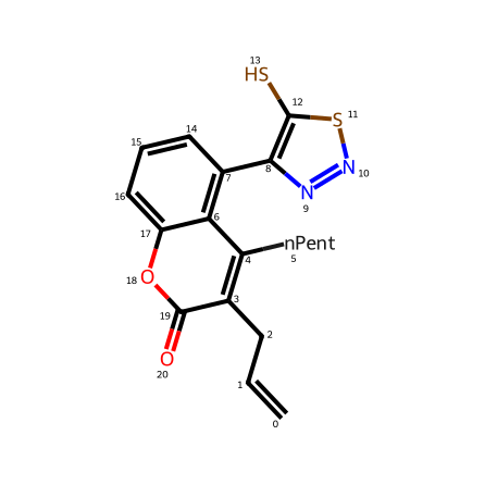 C=CCc1c(CCCCC)c2c(-c3nnsc3S)cccc2oc1=O